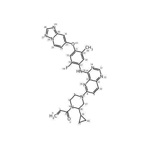 C=CC(=O)N1CCN(c2ccc3ncnc(Nc4cc(C)c(Oc5ccn6ncnc6c5)cc4F)c3n2)CC1C1CC1